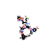 COc1ccc2nc3c(nc2c1)O[C@@H]1C[C@@H](C(=O)N[C@@H](CCC(F)F)C2C[C@@H]2C(=O)NS(=O)(=O)C2(C)CC2)N(C1)C(=O)[C@H](C(C)(C)C)NC(=O)O[C@@H]1C[C@@H]2C=C[C@@H]2[C@H]1CCCCC3(F)F